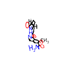 COc1cc2c(OCC[C@H]3NC(=O)[C@@H]4CC[C@H]34)nccc2cc1C(N)=O